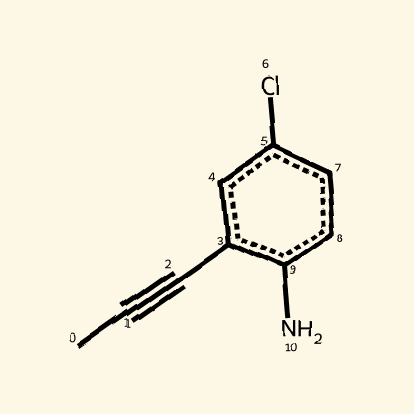 CC#Cc1cc(Cl)ccc1N